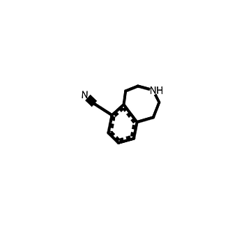 N#Cc1cccc2c1CCNCC2